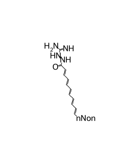 CCCCCCCCC/C=C/C=C/C=C/C=C/C=C/C(=O)NNC(=N)N